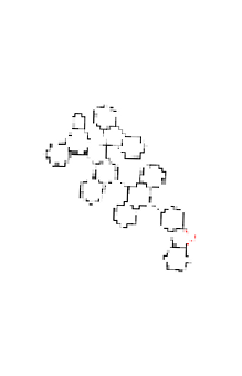 c1ccc2c(c1)-c1ccccc1C21c2cc(-c3c4ccccc4c(-c4ccc5oc6ccccc6c5c4)c4ccccc34)c3ccccc3c2-c2c1c1ccccc1c1ccccc21